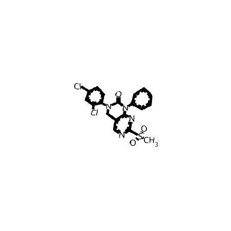 CS(=O)(=O)c1ncc2c(n1)N(c1ccccc1)C(=O)N(c1ccc(Cl)cc1Cl)C2